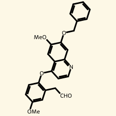 COc1ccc(Oc2ccnc3cc(OCc4ccccc4)c(OC)cc23)c(CC=O)c1